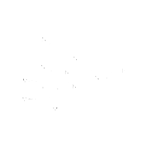 COc1cc(-c2nc3c(c(Nc4ccc5nc(C)cc(N)c5c4)n2)CN(C(=O)OC(C)(C)C)C3)cc(OC)c1OC